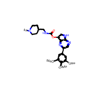 COc1cc(-c2cnc3[nH]cc(OC(=O)NCC4CCN(C(C)=O)CC4)c3n2)cc(OC)c1OC